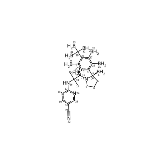 Bc1c(B)c([C@]2(B)CCCN2C(=O)C(C)(C)Nc2ncc(C#N)cn2)c(B)c(B)c1C(B)(B)B